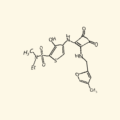 CCN(C)S(=O)(=O)c1scc(Nc2c(NCc3cc(C)co3)c(=O)c2=O)c1O